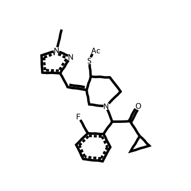 CC(=O)SC1CCN(C(C(=O)C2CC2)c2ccccc2F)C/C1=C/c1ccn(C)n1